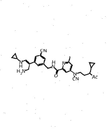 CC(=O)C(CCN(C#N)c1cc(C)nc(C(=O)NCc2cc(C#N)cc(/C(=C/NC3CC3)CN)c2)c1)C1CC1